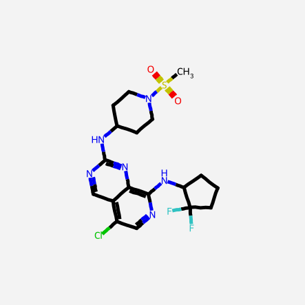 CS(=O)(=O)N1CCC(Nc2ncc3c(Cl)cnc(NC4CCCC4(F)F)c3n2)CC1